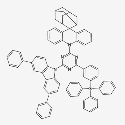 c1ccc(-c2ccc3c(c2)c2cc(-c4ccccc4)ccc2n3-c2nc(-c3cccc([Si](c4ccccc4)(c4ccccc4)c4ccccc4)c3)nc(N3c4ccccc4C4(c5ccccc53)C3CC5CC(C3)CC4C5)n2)cc1